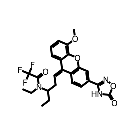 CCC(C/C=C1\c2ccc(-c3noc(=O)[nH]3)cc2Oc2c(OC)cccc21)N(CC)C(=O)C(F)(F)F